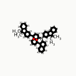 CC1(C)c2ccccc2-c2ccc(N(c3ccc(-c4ccc5c(c4)C4C=CC=CC4C5(C)C)cc3)c3ccc4ccccc4c3-c3ccccc3)cc21